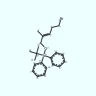 CC(=CCCBr)CO[Si](c1ccccc1)(c1ccccc1)C(C)(C)C